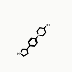 OC1CCN(c2ccc(C3CCNC3)cc2)CC1